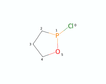 ClP1CCCO1